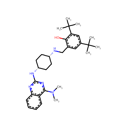 CN(C)c1nc(N[C@H]2CC[C@@H](NCc3cc(C(C)(C)C)cc(C(C)(C)C)c3O)CC2)nc2ccccc12